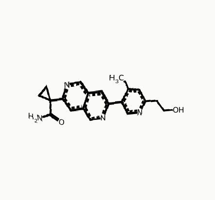 Cc1cc(CCO)ncc1-c1cc2cnc(C3(C(N)=O)CC3)cc2cn1